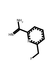 N=C(N)c1cccc(CF)n1